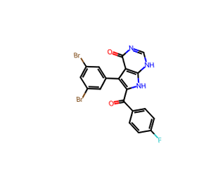 O=C(c1ccc(F)cc1)c1[nH]c2[nH]cnc(=O)c2c1-c1cc(Br)cc(Br)c1